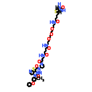 Cc1cc(Oc2ccccc2)ccc1N1C(=O)Nc2c(C(=O)NC3CCCN(C(=O)/C=C/CNC(=O)CCCC(=O)NCCCOCCOCCOCCCNC(=O)CCCC[C@H]4SC[C@@H]5NC(=O)N[C@@H]54)C3)sc3nccc1c23